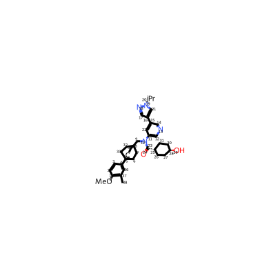 COc1ccc(C23CCC(CN(c4cncc(-c5cnn(C(C)C)c5)c4)C(=O)[C@H]4CC[C@H](O)CC4)(CC2)CC3)cc1C